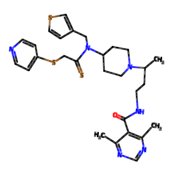 Cc1ncnc(C)c1C(=O)NCCC(C)N1CCC(N(Cc2ccsc2)C(=S)CSc2ccncc2)CC1